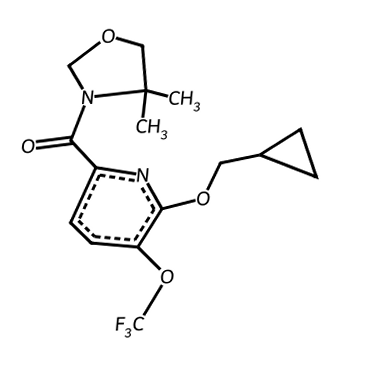 CC1(C)COCN1C(=O)c1ccc(OC(F)(F)F)c(OCC2CC2)n1